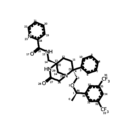 C[C@@H](OC[C@@]1(c2ccccc2)CC[C@]2(CNC(=O)c3ccccn3)CN1CC(=O)N2)c1cc(C(F)(F)F)cc(C(F)(F)F)c1